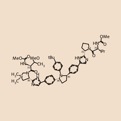 COC(=O)N[C@H](C(=O)N1CCC[C@H]1c1ncc(-c2ccc([C@H]3CC[C@H](c4ccc(-c5cnc([C@@H]6C[Si](C)(C)CN6C(=O)[C@@H](NC(=O)OC)C(C)OC)[nH]5)cc4)N3c3ccc(C(C)(C)C)cc3)cc2)[nH]1)C(C)C